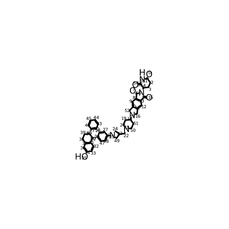 O=C1CCC(N2C(=O)c3cc4c(cc3C2=O)CN(C2CCN(CC3CN(c5ccc([C@@H]6c7ccc(O)cc7CC[C@@H]6c6ccccc6)cc5)C3)CC2)C4)C(=O)N1